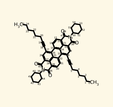 CCCCCCC#Cc1cc2c3c(ccc4c5c(C#CCCCCCC)cc6c7c(ccc(c1c34)c75)C(=O)N(C1CCCCC1)C6=O)C(=O)N(C1CCCCC1)C2=O